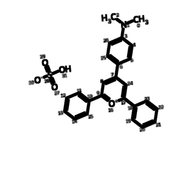 CN(C)c1ccc(-c2cc(-c3ccccc3)[o+]c(-c3ccccc3)c2)cc1.O=S(=O)([O-])O